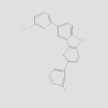 Cc1cccc(-c2ccc3[nH]c4ccc(-c5cccc(C)c5)cc4c3c2)c1